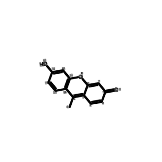 Cc1c2ccc(=O)cc-2oc2cc(O)ccc12